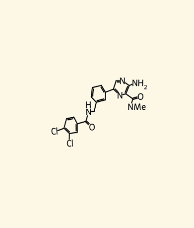 CNC(=O)c1nc(-c2cccc(CNC(=O)c3ccc(Cl)c(Cl)c3)c2)cnc1N